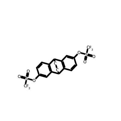 O=S(=O)(Oc1ccc2c(c1)C1CCC2c2cc(OS(=O)(=O)C(F)(F)F)ccc21)C(F)(F)F